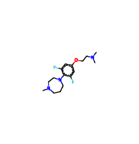 CN(C)CCOc1cc(F)c(N2CCCN(C)CC2)c(F)c1